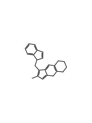 CC1=C(CC2C=Cc3ccccc32)C2=CC3=C(CCCC3)CC2=C1